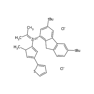 C[C](C)=[Zr+2]([C]1=CC(c2cccs2)=CC1C)[c]1cc(C(C)(C)C)cc2c1Cc1ccc(C(C)(C)C)cc1-2.[Cl-].[Cl-]